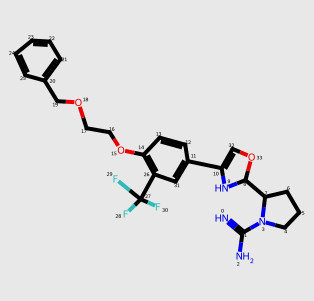 N=C(N)N1CCCC1C1NC(c2ccc(OCCOCc3ccccc3)c(C(F)(F)F)c2)=CO1